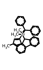 CC1=CC[C]([Zr]([CH3])([CH3])(=[C](c2ccccc2)c2ccccc2)[CH]2c3ccccc3-c3ccccc32)=C1